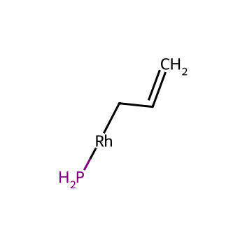 C=C[CH2][Rh][PH2]